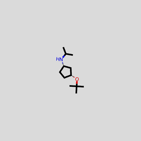 CC(C)N[C@H]1CC[C@@H](OC(C)(C)C)C1